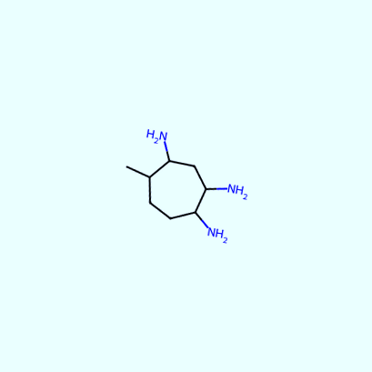 CC1CCC(N)C(N)CC1N